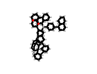 c1ccc(-c2cc3ccc(-c4cccc5c4[C@]4(c6ccccc6-5)[C@@H]5CC6C[C@@H](C5)C[C@@H]4C6)cc3cc2N(c2ccc(-c3cccc4ccccc34)cc2)c2cc3ccccc3c3ccccc23)cc1